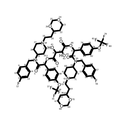 O=C(OC(C(=O)N(Cc1ccc(F)cc1)C1CCN(CCC2CCOCO2)CC1)c1ccc(OC(F)(F)F)cc1)C(O)C(O)C(=O)OC(C(=O)N(Cc1ccc(F)cc1)C1CCN(CCC2CCOCO2)CC1)c1ccc(OC(F)(F)F)cc1